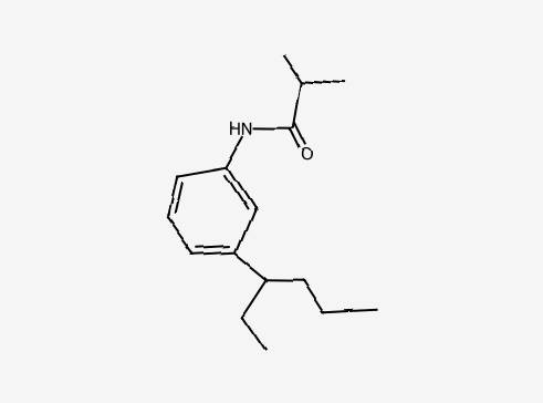 CCCC(CC)c1cccc(NC(=O)C(C)C)c1